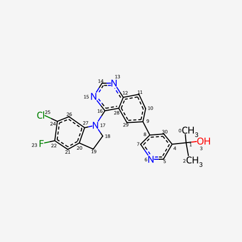 CC(C)(O)c1cncc(-c2ccc3ncnc(N4CCc5cc(F)c(Cl)cc54)c3c2)c1